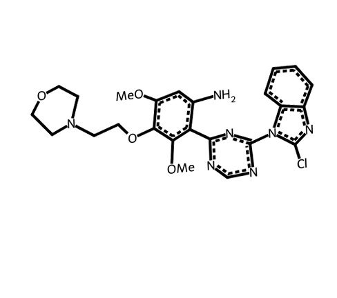 COc1cc(N)c(-c2ncnc(-n3c(Cl)nc4ccccc43)n2)c(OC)c1OCCN1CCOCC1